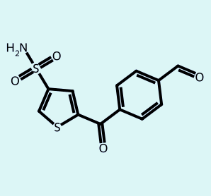 NS(=O)(=O)c1csc(C(=O)c2ccc(C=O)cc2)c1